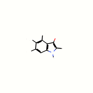 CC(=O)n1c(C)c(O)c2c(C)c(C)c(C)cc21